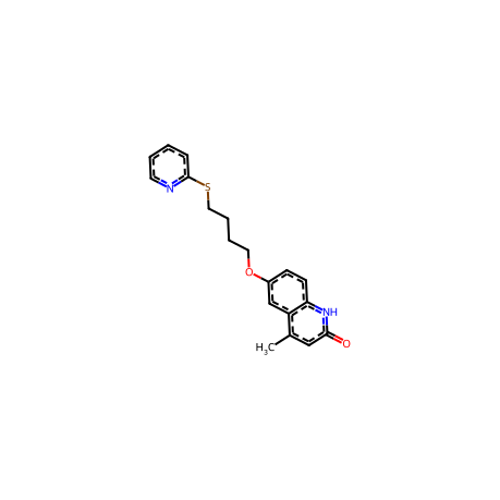 Cc1cc(=O)[nH]c2ccc(OCCCCSc3ccccn3)cc12